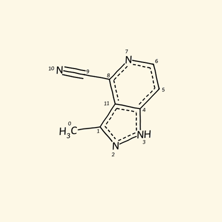 Cc1n[nH]c2ccnc(C#N)c12